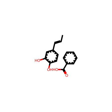 CC=Cc1ccc(O)c(O)c1.O=C(O)c1ccccc1